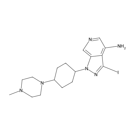 CN1CCN(C2CCC(n3nc(I)c4c(N)cncc43)CC2)CC1